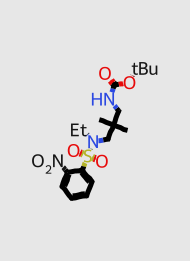 CCN(CC(C)(C)CNC(=O)OC(C)(C)C)S(=O)(=O)c1ccccc1[N+](=O)[O-]